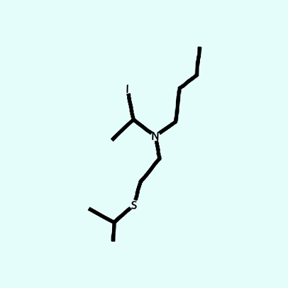 CCCCN(CCSC(C)C)C(C)I